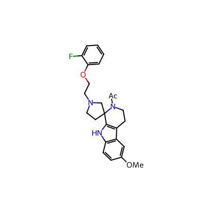 COc1ccc2[nH]c3c(c2c1)CCN(C(C)=O)C31CCN(CCOc2ccccc2F)C1